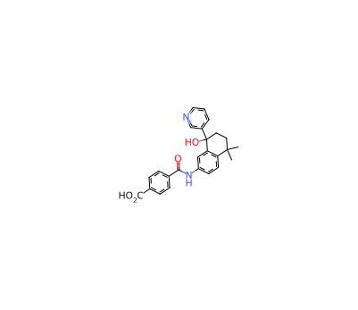 CC1(C)CCC(O)(c2cccnc2)c2cc(NC(=O)c3ccc(C(=O)O)cc3)ccc21